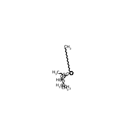 CCCCCCCCCCCCCCCCc1ccccc1OCC(COP(O)OCC[N+](C)(C)C)OC(=O)CCC